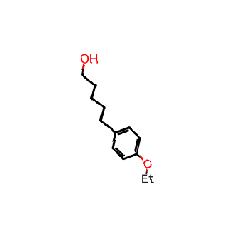 CCOc1ccc(CCCCCO)cc1